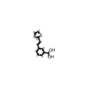 OC(O)c1cccc(/C=C/c2nccs2)c1